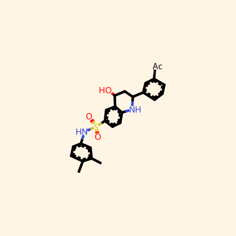 CC(=O)c1cccc(C2CC(O)c3cc(S(=O)(=O)Nc4ccc(C)c(C)c4)ccc3N2)c1